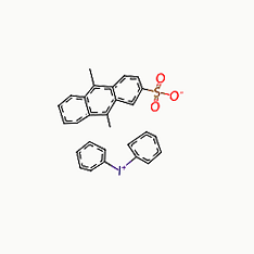 Cc1c2ccccc2c(C)c2cc(S(=O)(=O)[O-])ccc12.c1ccc([I+]c2ccccc2)cc1